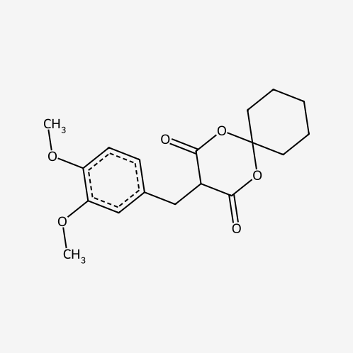 COc1ccc(CC2C(=O)OC3(CCCCC3)OC2=O)cc1OC